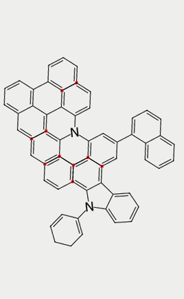 C1=CC(n2c3ccccc3c3ccc(-c4ccccc4N(c4cc(-c5cccc6ccccc56)ccc4-c4ccccc4)c4ccccc4-c4cccc5cccc(-c6ccccc6)c45)cc32)=CCC1